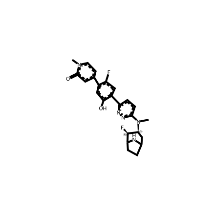 CN(c1ccc(-c2cc(F)c(-c3ccn(C)c(=O)c3)cc2O)nn1)[C@H]1CC2CCC(N2)[C@H]1F